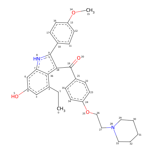 CCc1cc(O)cc2[nH]c(-c3ccc(OC)cc3)c(C(=O)c3ccc(OCCN4CCCCC4)cc3)c12